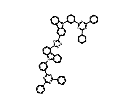 c1ccc(-c2nc(-c3ccccc3)nc(-c3cccc(-n4c5ccccc5c5cc(-c6nnc(-c7cccc8c7c7ccccc7n8-c7cccc(-c8nc(-c9ccccc9)nc(-c9ccccc9)n8)c7)o6)ccc54)c3)n2)cc1